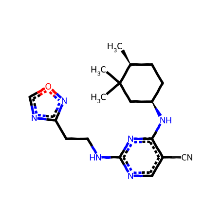 C[C@H]1CC[C@@H](Nc2nc(NCCc3ncon3)ncc2C#N)CC1(C)C